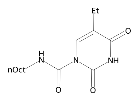 CCCCCCCCNC(=O)n1cc(CC)c(=O)[nH]c1=O